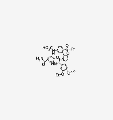 CCOc1cc(C(Nc2cccc(C(N)=O)c2)C(=O)N2CCCC2c2cc(NC(=O)O)ccc2S(=O)(=O)C(C)C)ccc1OC(C)C